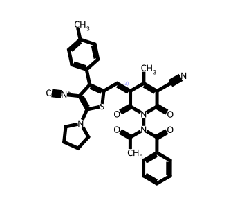 [C-]#[N+]c1c(N2CCCC2)sc(/C=C2\C(=O)N(N(C(C)=O)C(=O)c3ccccc3)C(=O)C(C#N)=C2C)c1-c1ccc(C)cc1